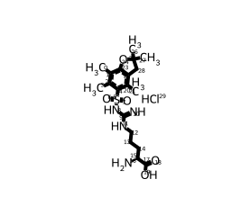 Cc1c(C)c(S(=O)(=O)NC(=N)NCCC[C@H](N)C(=O)O)c(C)c2c1OC(C)(C)C2.Cl